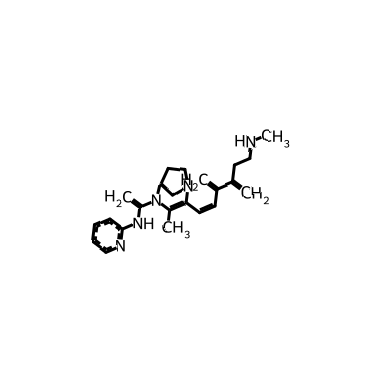 C=C(/C=C\C1=C(C)N(C(=C)Nc2ccccn2)C2CCN1C2)C(=C)CCNC